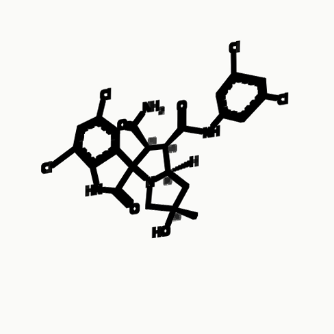 C[C@]1(O)C[C@@H]2[C@H](C(=O)Nc3cc(Cl)cc(Cl)c3)[C@H](C(N)=O)C3(C(=O)Nc4c(Cl)cc(Cl)cc43)N2C1